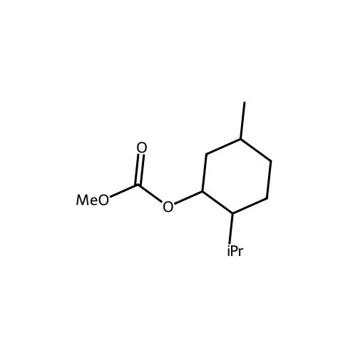 [CH2]OC(=O)OC1CC(C)CCC1C(C)C